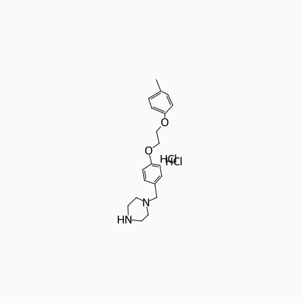 Cc1ccc(OCCOc2ccc(CN3CCNCC3)cc2)cc1.Cl.Cl